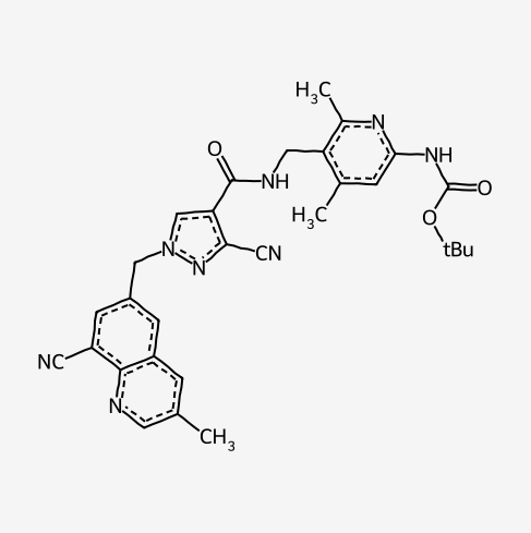 Cc1cnc2c(C#N)cc(Cn3cc(C(=O)NCc4c(C)cc(NC(=O)OC(C)(C)C)nc4C)c(C#N)n3)cc2c1